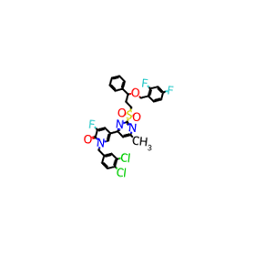 Cc1cc(-c2cc(F)c(=O)n(Cc3ccc(Cl)c(Cl)c3)c2)nc(S(=O)(=O)CCC(OCc2ccc(F)cc2F)c2ccccc2)n1